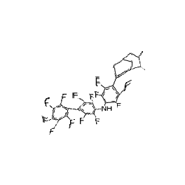 CC1CC2CC(c3c(F)c(F)c(Nc4c(F)c(F)c(-c5c(F)c(F)c(F)c(F)c5F)c(F)c4F)c(F)c3F)=C(C2)C1C